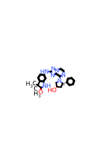 CC1(C)C(=O)Nc2cc(Nc3nc4c(N5CC(O)C[C@H]5c5ccccc5)nccn4n3)ccc21